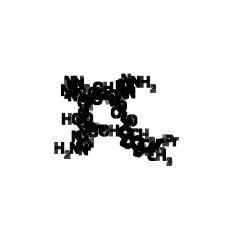 CC(C)CCC[C@@H](C)[C@H]1CCC2C3CC=C4CCC(C(=O)CCC(=O)O[C@@H]5C[C@@H](COP(=O)(O)O[C@@H]6C[C@@H](COP(=O)(O)O[C@@H]7C[C@@H](CO)O[C@H]7n7cnc8c(N)ncnc87)O[C@H]6n6cnc7c(N)ncnc76)O[C@H]5n5cnc6c(N)ncnc65)C[C@]4(C)C3CC[C@@]21C